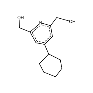 OCc1cc(C2CCCCC2)cc(CO)n1